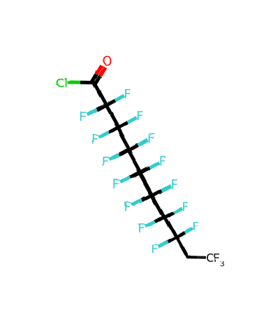 O=C(Cl)C(F)(F)C(F)(F)C(F)(F)C(F)(F)C(F)(F)C(F)(F)C(F)(F)CC(F)(F)F